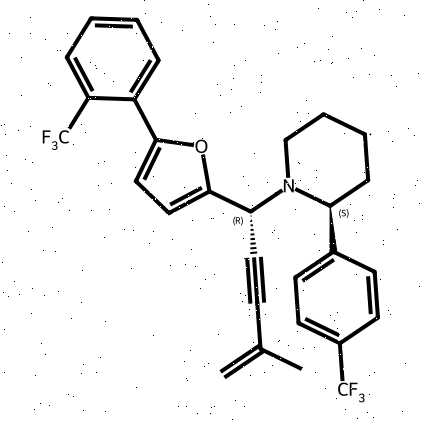 C=C(C)C#C[C@H](c1ccc(-c2ccccc2C(F)(F)F)o1)N1CC[CH]C[C@H]1c1ccc(C(F)(F)F)cc1